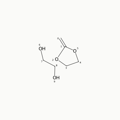 C=C1OCCO1.OCCO